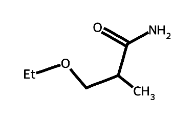 [CH2]COCC(C)C(N)=O